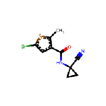 Cc1sc(Br)cc1C(=O)NC1(C#N)CC1